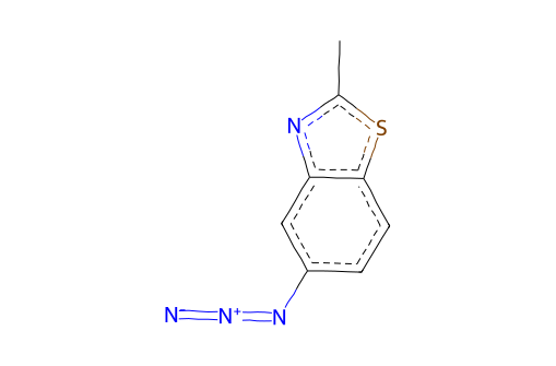 Cc1nc2cc(N=[N+]=[N-])ccc2s1